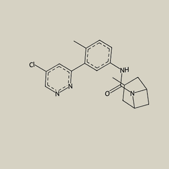 Cc1ccc(NC(=O)N2C3CC(C)CC2C3)cc1-c1cc(Cl)cnn1